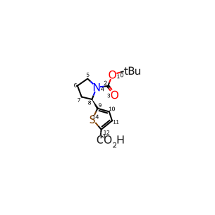 CC(C)(C)OC(=O)N1CCC[C@@H]1c1ccc(C(=O)O)s1